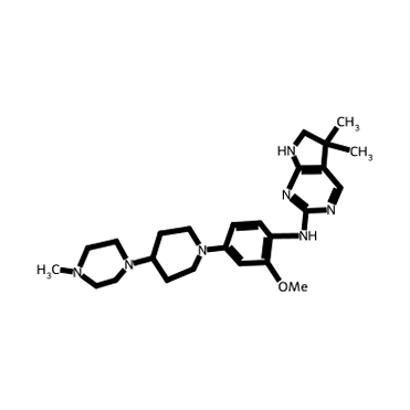 COc1cc(N2CCC(N3CCN(C)CC3)CC2)ccc1Nc1ncc2c(n1)NCC2(C)C